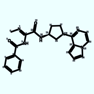 C/N=C(\NC(=O)c1ccccc1)C(=O)N[C@H]1CCN(c2nccn3cccc23)C1